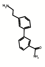 NCCc1cccc(-c2cccc(C(N)=O)c2)c1